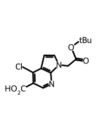 CC(C)(C)OC(=O)Cn1ccc2c(Cl)c(C(=O)O)cnc21